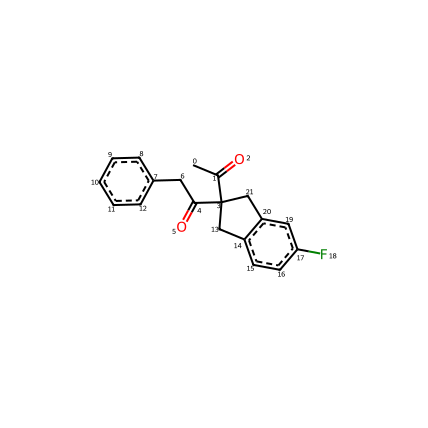 CC(=O)C1(C(=O)Cc2ccccc2)Cc2ccc(F)cc2C1